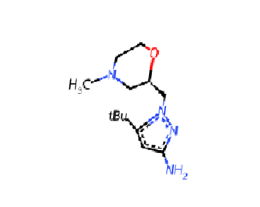 CN1CCO[C@@H](Cn2nc(N)cc2C(C)(C)C)C1